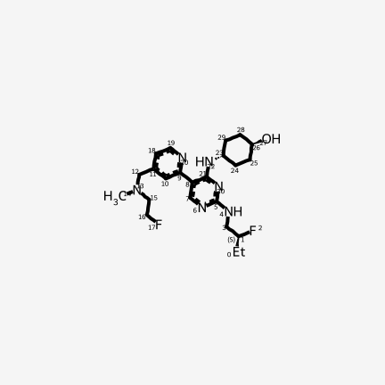 CC[C@H](F)CNc1ncc(-c2cc(CN(C)CCF)ccn2)c(N[C@H]2CC[C@H](O)CC2)n1